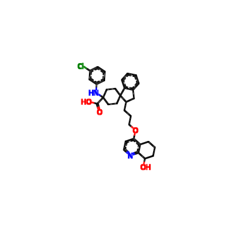 O=C(O)C1(Nc2cccc(Cl)c2)CCC2(CC1)c1ccccc1CC2CCCOc1ccnc2c1CCCC2O